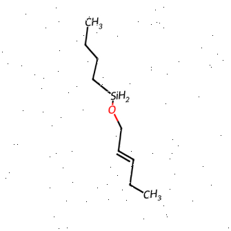 CCC=CCO[SiH2]CCCC